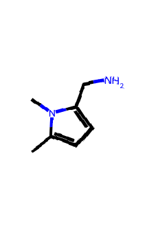 Cc1ccc(CN)n1C